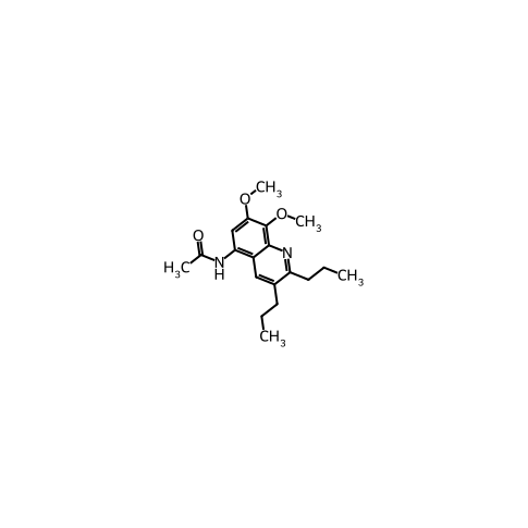 CCCc1cc2c(NC(C)=O)cc(OC)c(OC)c2nc1CCC